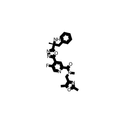 Cc1nc(CN(C)C(=O)c2cc(-c3nnc([C@](C)(N)Cc4ccccc4)o3)c(F)cn2)c(C)o1